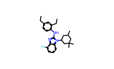 CCc1ccc(Nc2nc3c(F)cccc3n2C2CC(C)CC(C)(C)C2)c(CC)c1